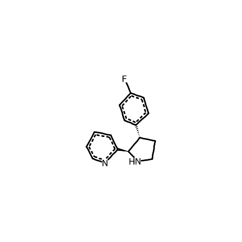 Fc1ccc([C@@H]2CCN[C@H]2c2ccccn2)cc1